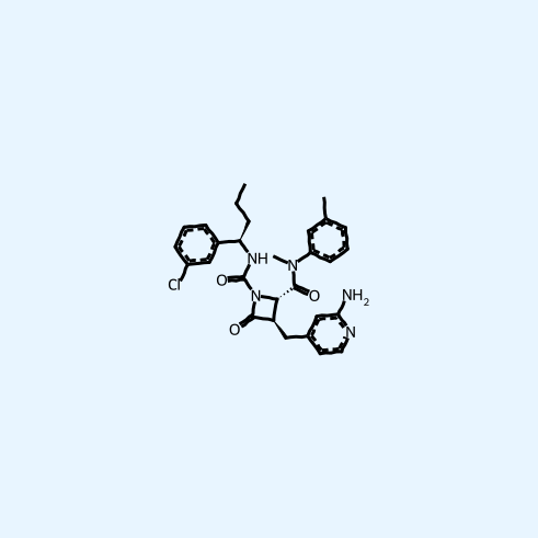 CCC[C@@H](NC(=O)N1C(=O)[C@H](Cc2ccnc(N)c2)[C@H]1C(=O)N(C)c1cccc(C)c1)c1cccc(Cl)c1